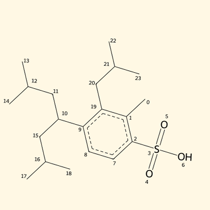 Cc1c(S(=O)(=O)O)ccc(C(CC(C)C)CC(C)C)c1CC(C)C